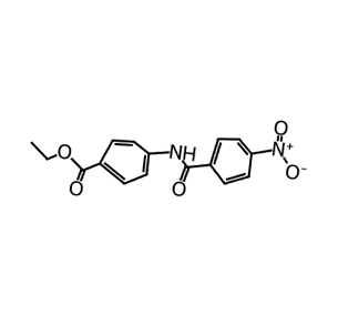 CCOC(=O)c1ccc(NC(=O)c2ccc([N+](=O)[O-])cc2)cc1